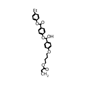 C=CC(=O)OCCCCOc1ccc(C(O)Oc2ccc(C(=O)Oc3ccc(CC)cc3)cc2)cc1